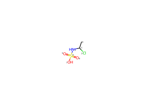 CC(Cl)NS(=O)(=O)O